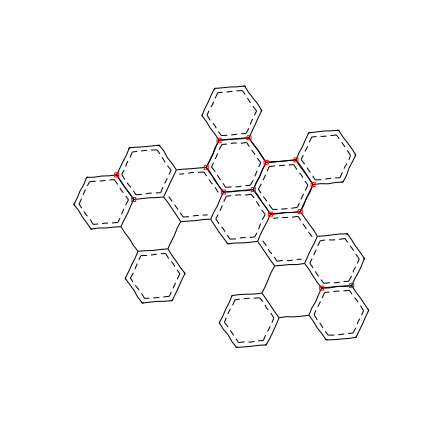 c1ccc(-c2ccccc2-c2c3ccccc3c(-c3ccccc3-c3ccccc3)c3cc4c(-c5ccccc5-c5ccccc5)c5ccccc5c(-c5ccccc5-c5ccccc5)c4cc23)cc1